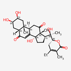 CCC1=C(C)C(=O)O[C@@H]([C@](C)(O)[C@H]2CC[C@@]3(O)C4=CC(=O)[C@@H]5C[C@@H](O)[C@@H](O)C[C@]5(C)[C@H]4CC(=O)[C@]23C)C1